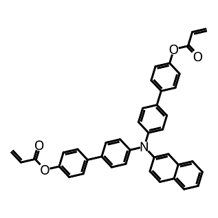 C=CC(=O)Oc1ccc(-c2ccc(N(c3ccc(-c4ccc(OC(=O)C=C)cc4)cc3)c3ccc4ccccc4c3)cc2)cc1